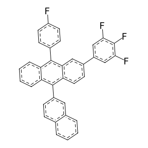 Fc1ccc(-c2c3ccccc3c(-c3ccc4ccccc4c3)c3ccc(-c4cc(F)c(F)c(F)c4)cc23)cc1